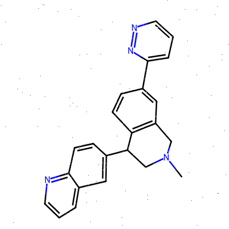 CN1Cc2cc(-c3cccnn3)ccc2C(c2ccc3ncccc3c2)C1